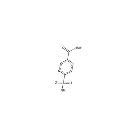 COC(=O)c1ccc(S(N)(=O)=O)nc1